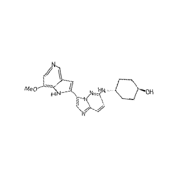 COc1cncc2cc(-c3cnc4ccc(N[C@H]5CC[C@H](O)CC5)nn34)[nH]c12